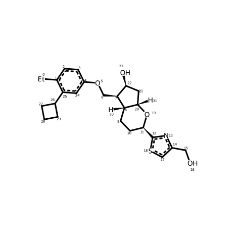 CCc1ccc(OC[C@@H]2[C@H]3CC[C@H](c4nc(CO)cs4)O[C@H]3C[C@@H]2O)cc1C1CCC1